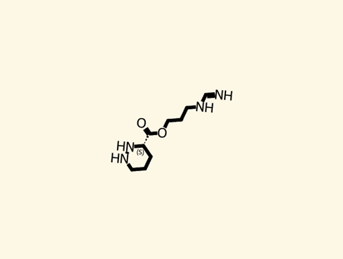 N=CNCCCOC(=O)[C@@H]1CCCNN1